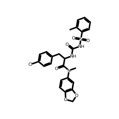 Cc1ccccc1S(=O)(=O)NC(=O)NC(Cc1ccc(Cl)cc1)C(=O)N(C)c1ccc2c(c1)OCO2